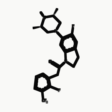 C[C@@H]1CN(c2cc3c(cc2F)CCN3C(=O)Cc2cccc(C(F)(F)F)c2F)C[C@H](C)N1C